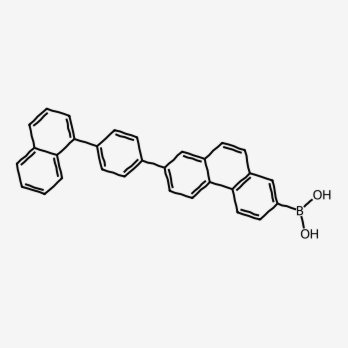 OB(O)c1ccc2c(ccc3cc(-c4ccc(-c5cccc6ccccc56)cc4)ccc32)c1